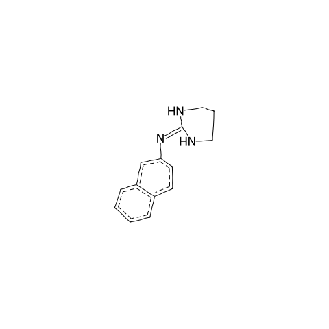 c1ccc2cc(N=C3NCCCN3)ccc2c1